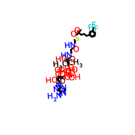 CC(C)(COP(=O)(O)OP(=O)(O)OC[C@H]1O[C@@H](n2cnc3c(N)ncnc32)[C@H](O)[C@@H]1OP(=O)(O)O)[C@@H](O)C(=O)NCCC(=O)NCCSC(=O)C1(CCCc2cccc(C(F)(F)F)c2)CO1